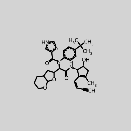 C#C/C=C\C1=C(C)C[C@H](O)[C@@H]1NC(=O)C(C1CC2CCCOC2O1)N(C(=O)c1c[nH]cn1)c1ccc(C(C)(C)C)cc1